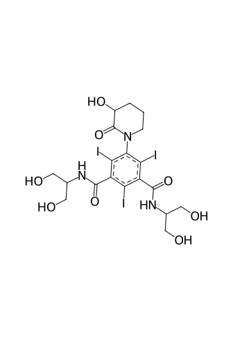 O=C(NC(CO)CO)c1c(I)c(C(=O)NC(CO)CO)c(I)c(N2CCCC(O)C2=O)c1I